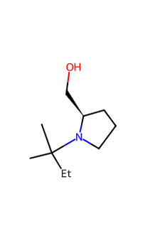 CCC(C)(C)N1CCC[C@@H]1CO